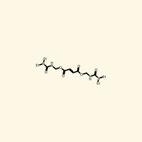 CCN(CC)C(=O)NCOC(=O)/C=C/C(=O)OCNC(=O)N(CC)CC